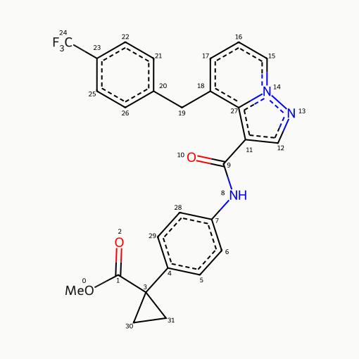 COC(=O)C1(c2ccc(NC(=O)c3cnn4cccc(Cc5ccc(C(F)(F)F)cc5)c34)cc2)CC1